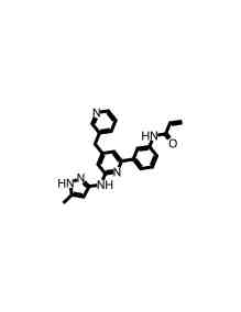 C=CC(=O)Nc1cccc(-c2cc(Cc3cccnc3)cc(Nc3cc(C)[nH]n3)n2)c1